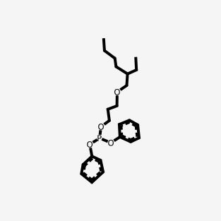 CCCCC(CC)COCCCOP(Oc1ccccc1)Oc1ccccc1